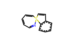 C1=CC=NS2(C=C1)C=Cc1ccccc12